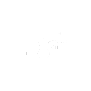 C[C@H](C=O)[C@H]1CCC2[C@@H](C)CCC[C@@]21C